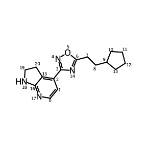 c1cc(-c2noc(CCC3CCCC3)n2)c2c(n1)NCC2